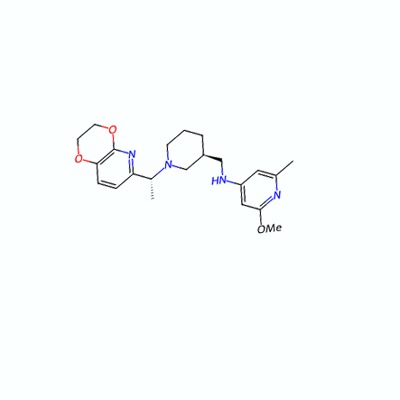 COc1cc(NC[C@@H]2CCCN([C@H](C)c3ccc4c(n3)OCCO4)C2)cc(C)n1